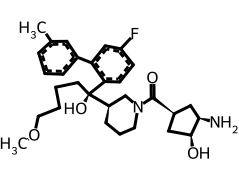 COCCCC[C@](O)(c1ccc(F)cc1-c1cccc(C)c1)[C@@H]1CCCN(C(=O)[C@H]2C[C@@H](N)[C@@H](O)C2)C1